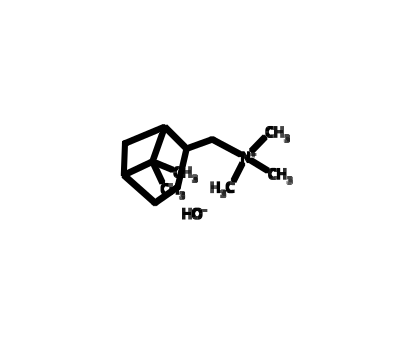 CC1(C)C2CCC(C[N+](C)(C)C)C1C2.[OH-]